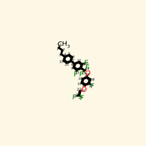 CCCCc1ccc(-c2cc(F)c(C(F)(F)Oc3ccc(OC=C(F)F)c(F)c3)c(F)c2)cc1